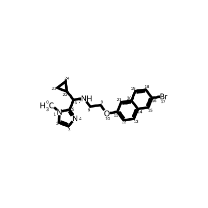 Cn1ccnc1C(NCCOc1ccc2cc(Br)ccc2c1)C1CC1